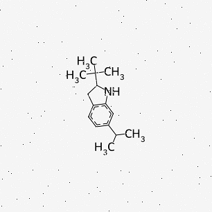 CC(C)c1ccc2c(c1)NC(C(C)(C)C)C2